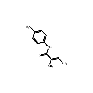 CC=C(C)C(=O)Nc1ccc(C)cc1